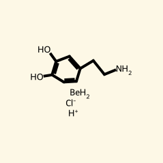 NCCc1ccc(O)c(O)c1.[BeH2].[Cl-].[H+]